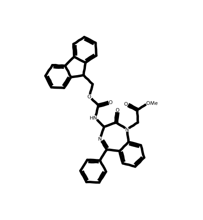 COC(=O)CN1C(=O)C(NC(=O)OCC2c3ccccc3-c3ccccc32)N=C(c2ccccc2)c2ccccc21